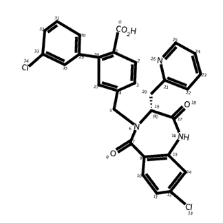 O=C(O)c1ccc(CN2C(=O)c3ccc(Cl)cc3NC(=O)[C@H]2Cc2ccccn2)cc1-c1cccc(Cl)c1